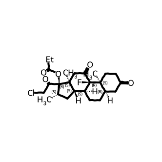 CCC(=O)O[C@]1(C(=O)CCl)[C@@H](C)C[C@H]2[C@@H]3CC[C@@H]4CC(=O)CC[C@]4(C)[C@@]3(F)C(=O)C[C@@]21C